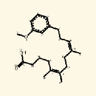 COc1cccc(CCC=C(C)CCC(C)=C(C)CCCC(=O)O)c1